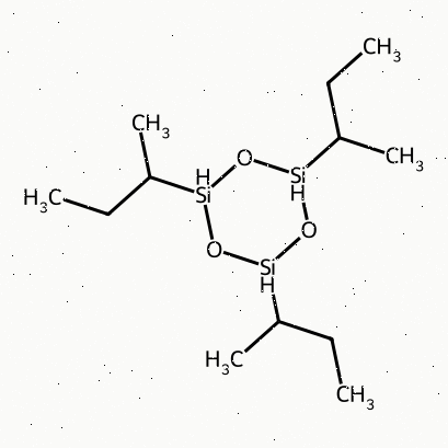 CCC(C)[SiH]1O[SiH](C(C)CC)O[SiH](C(C)CC)O1